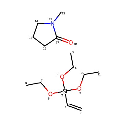 C=C[Si](OCC)(OCC)OCC.CN1CCCC1=O